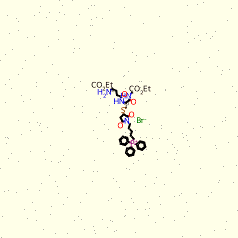 CCOC(=O)CNC(=O)[C@H](CSC1CC(=O)N(CCCCC[P+](c2ccccc2)(c2ccccc2)c2ccccc2)C1=O)NC(=O)CC[C@H](N)C(=O)OCC.[Br-]